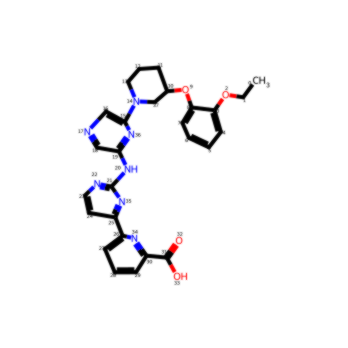 CCOc1ccccc1OC1CCCN(c2cncc(Nc3nccc(-c4cccc(C(=O)O)n4)n3)n2)C1